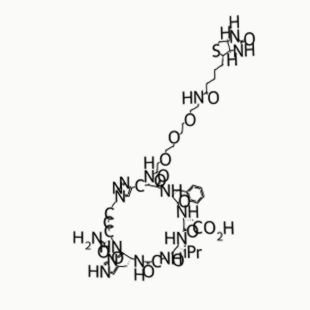 CC(C)[C@H]1NC(=O)[C@@H](CC(=O)O)NC(=O)[C@@H](Cc2ccccc2)NC(=O)[C@@H](NC(=O)COCCOCCOCCNC(=O)CCCC[C@H]2SC[C@H]3NC(=O)N[C@H]32)Cc2cn(nn2)CCCC[C@@H](C(N)=O)NC(=O)[C@@H](Cc2c[nH]cn2)NC(=O)CNC1=O